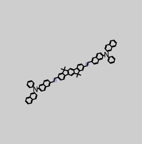 CC1(C)c2cc(/C=C/c3ccc4cc(N(c5ccccc5)c5ccc6ccccc6c5)ccc4c3)ccc2-c2cc3c(cc21)-c1ccc(/C=C/c2ccc4cc(N(c5ccccc5)c5ccc6ccccc6c5)ccc4c2)cc1C3(C)C